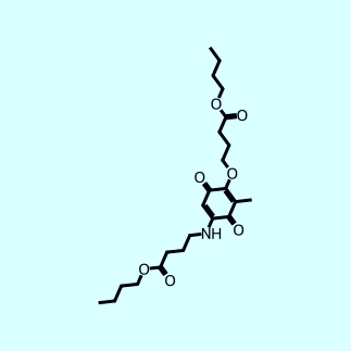 CCCCOC(=O)CCCNC1=CC(=O)C(OCCCC(=O)OCCCC)=C(C)C1=O